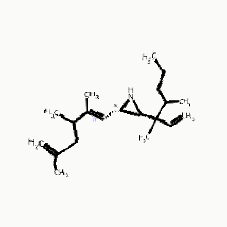 C=CC(C)(C(C)CCC)C1N[C@H]1/C=C(\C)C(C)CC(=C)C